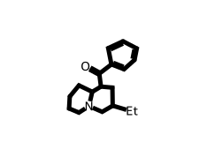 CCC1CC(C(=O)c2ccccc2)C2CCCCN2C1